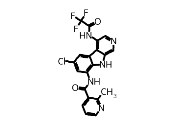 Cc1ncccc1C(=O)Nc1cc(Cl)cc2c1[nH]c1cncc(NC(=O)C(F)(F)F)c12